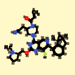 C=CC(=O)N1CCN(c2nc(OCC3CCCN3C)nc3c(F)c(-c4cccc5c4[C@H]4C[C@H]4C5)ncc23)CC1CC#N